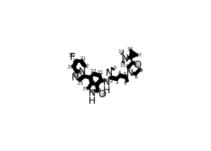 C=N/C(=C\C=C(/C)N1CCO[C@H](C2(N(C)C)CC2)C1)Nc1ccc(-c2cnc3cc(F)ccn23)c2c1C(=O)NC2